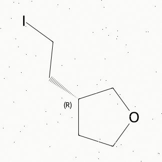 ICC[C@H]1CCOC1